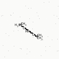 CN(C)CCOCCCNCCCOCCN(C)C